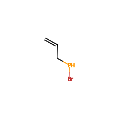 C=CCPBr